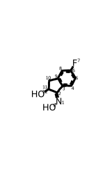 ON=C1c2ccc(F)cc2CC1O